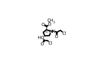 COC(=O)[C@@H]1CCCN1NC(=O)CCl.O=C(O)CCl